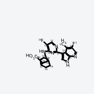 Cc1c(F)cnc2[nH]cc(-c3ncc(F)c(NC4C5CCC(CC5)C4C(=O)O)n3)c12